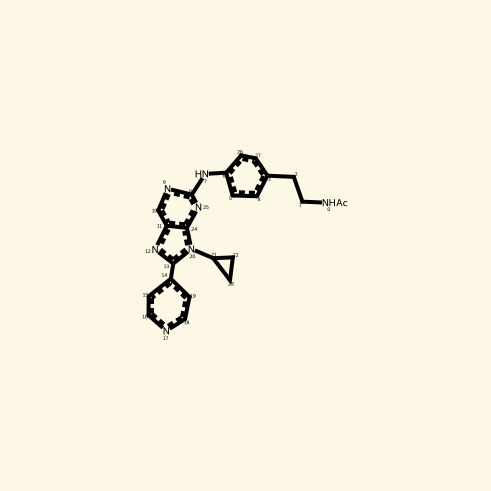 CC(=O)NCCc1ccc(Nc2ncc3nc(-c4ccncc4)n(C4CC4)c3n2)cc1